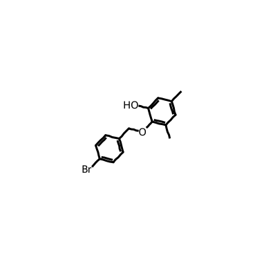 Cc1cc(C)c(OCc2ccc(Br)cc2)c(O)c1